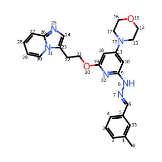 Cc1cccc(C=NNc2cc(N3CCOCC3)cc(OCCc3cnc4ccccn34)n2)c1